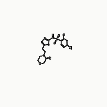 O=C1COCCN1CCc1cnc(NS(=O)(=O)c2ccc(Cl)cc2Cl)s1